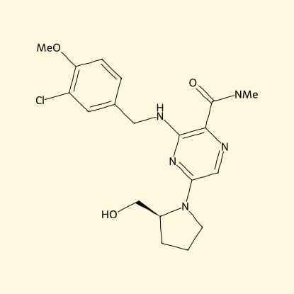 CNC(=O)c1ncc(N2CCC[C@H]2CO)nc1NCc1ccc(OC)c(Cl)c1